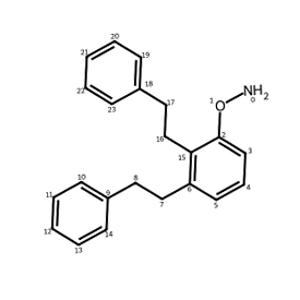 NOc1cccc(CCc2ccccc2)c1CCc1ccccc1